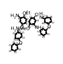 CCOc1ccc(Cl)cc1N.COc1ccc(Cl)cc1N.Nc1ccc(Oc2ccccc2)cc1.Nc1cccc(Oc2ccccc2)c1